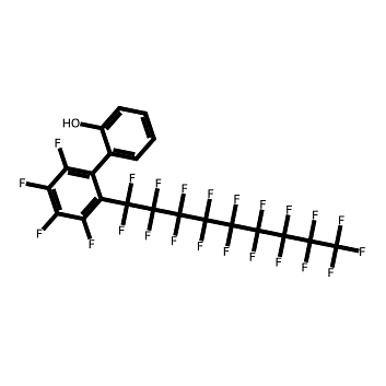 Oc1ccccc1-c1c(F)c(F)c(F)c(F)c1C(F)(F)C(F)(F)C(F)(F)C(F)(F)C(F)(F)C(F)(F)C(F)(F)C(F)(F)C(F)(F)F